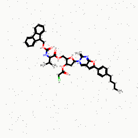 C=C1N=c2oc(-c3ccc(CCCCC)cc3)cc2=CN1C1CC(OC(=O)CCl)C(COC(=O)C(NC(=O)OCC2c3ccccc3-c3ccccc32)C(C)C)O1